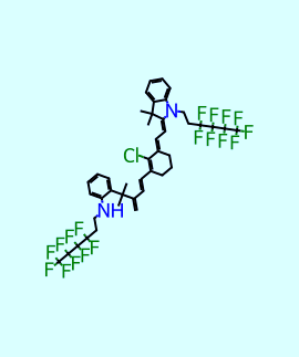 C=C(/C=C/C1=C(Cl)C(=C/C=C2/N(CCC(F)(F)C(F)(F)C(F)(F)C(F)(F)F)c3ccccc3C2(C)C)/CCC1)C(C)(C)c1ccccc1NCCC(F)(F)C(F)(F)C(F)(F)C(F)(F)F